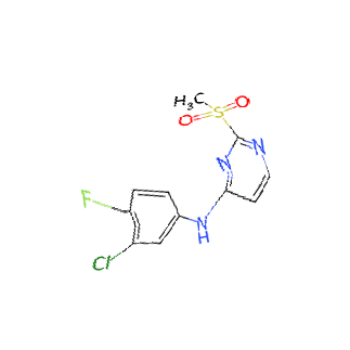 CS(=O)(=O)c1nccc(Nc2ccc(F)c(Cl)c2)n1